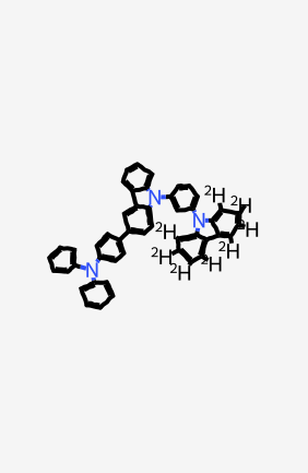 [2H]c1c([2H])c([2H])c2c(c1[2H])c1c([2H])c([2H])c([2H])c([2H])c1n2-c1cccc(-n2c3ccccc3c3cc(-c4ccc(N(c5ccccc5)c5ccccc5)cc4)ccc32)c1